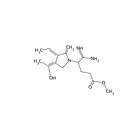 C=C1C(=C/C)/C(=C(\C)O)CN1C(CCC(=O)OC)C(=N)N